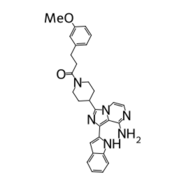 COc1cccc(CCC(=O)N2CCC(c3nc(-c4cc5ccccc5[nH]4)c4c(N)nccn34)CC2)c1